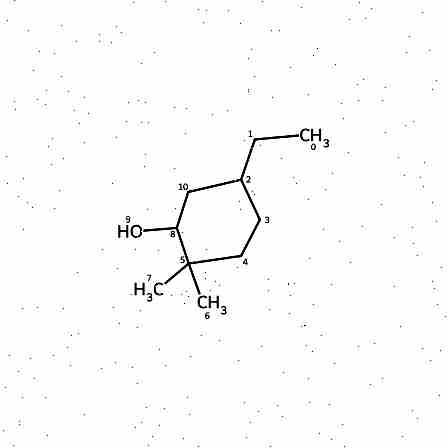 CCC1CCC(C)(C)C(O)C1